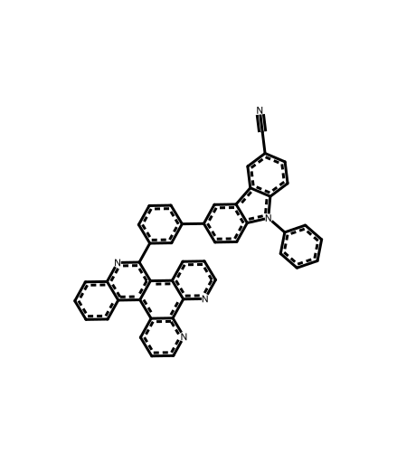 N#Cc1ccc2c(c1)c1cc(-c3cccc(-c4nc5ccccc5c5c6cccnc6c6ncccc6c45)c3)ccc1n2-c1ccccc1